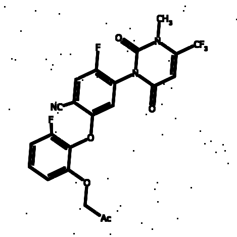 CC(=O)COc1cccc(F)c1Oc1cc(-n2c(=O)cc(C(F)(F)F)n(C)c2=O)c(F)cc1C#N